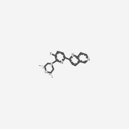 C[C@@H]1CN(c2nc(-c3ccc4cnccc4n3)ccc2F)C[C@H](C)O1